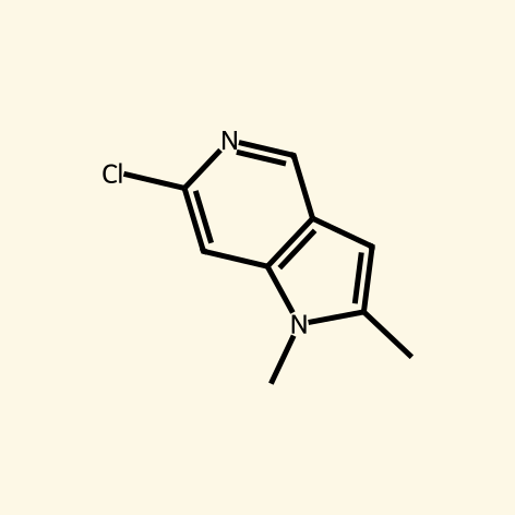 Cc1cc2cnc(Cl)cc2n1C